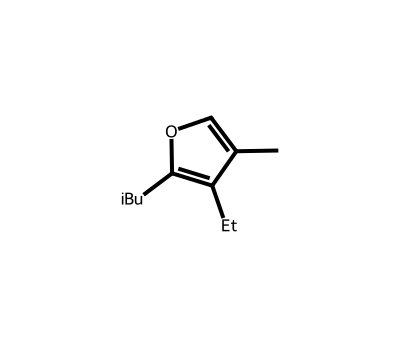 CCc1c(C)coc1C(C)CC